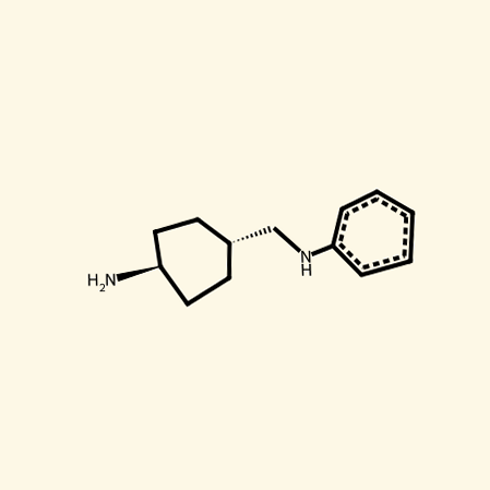 N[C@H]1CC[C@H](CNc2ccccc2)CC1